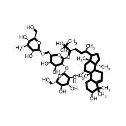 C[C@@H]1[C@@H](O)[C@H](OC[C@H]2O[C@@H](O[C@H](CC[C@@H](C)C3CC[C@@]4(C)C5CC=C6C(CC[C@H](O)C6(C)C)[C@]5(C)[C@H](O)C[C@]34C)C(C)(C)O)[C@H](O[C@H]3O[C@@H](CO)[C@H](O)[C@@H](O)[C@@H]3O)[C@@H](O)[C@@H]2O)O[C@H](CO)[C@H]1O